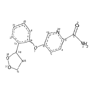 NC(=O)c1ccc(Oc2ccccc2C2CCOO2)cn1